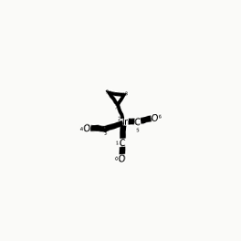 O=[C]=[Ir](=[C]=O)(=[C]=O)[CH]1CC1